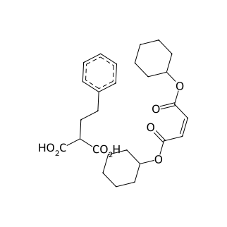 O=C(/C=C\C(=O)OC1CCCCC1)OC1CCCCC1.O=C(O)C(CCc1ccccc1)C(=O)O